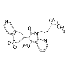 CC(C)CCn1c(=O)c(C2=CS(=O)(=O)c3ccncc3C2)c(O)c2cccnc21